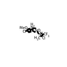 COc1cc(C2(N)CCN(C(=O)Cn3nc(C(F)(F)F)c(Cl)c3C)CC2)ccc1Cl